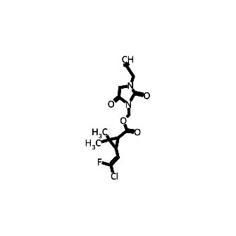 C#CCN1CC(=O)N(COC(=O)C2C(/C=C(\F)Cl)C2(C)C)C1=O